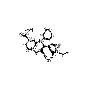 CCn1ncc2c(NC3CCOCC3)c(CN3CCC(C(=O)O)CC3)cnc21